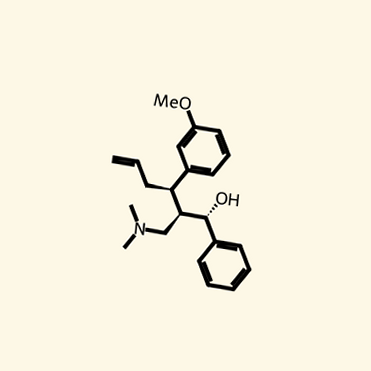 C=CC[C@@H](c1cccc(OC)c1)[C@H](CN(C)C)[C@H](O)c1ccccc1